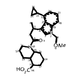 COCn1cc(C(C)CC(=O)N2CCCC3C(C(=O)O)CCCC32)c2c(C3CC3)cccc21